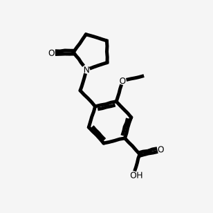 COc1cc(C(=O)O)ccc1CN1CCCC1=O